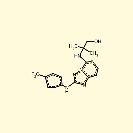 CC(C)(CO)Nc1nccc2nc(Nc3ccc(C(F)(F)F)cc3)nn12